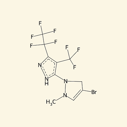 CN1C=C(Br)CN1c1[nH]nc(C(F)(F)C(F)(F)F)c1C(F)(F)F